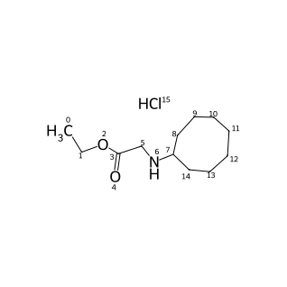 CCOC(=O)CNC1CCCCCCC1.Cl